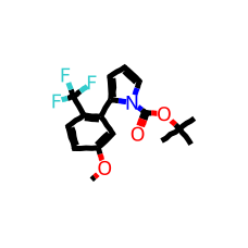 COc1ccc(C(F)(F)F)c(-c2cccn2C(=O)OC(C)(C)C)c1